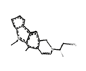 Cc1c2c(cc3c4ccccc4n(C)c13)CN([C@@H](C)CN)C=C2